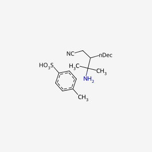 CCCCCCCCCCC(CC#N)C(C)(C)N.Cc1ccc(S(=O)(=O)O)cc1